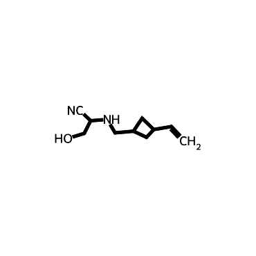 C=CC1CC(CNC(C#N)CO)C1